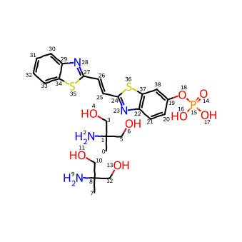 CC(N)(CO)CO.CC(N)(CO)CO.O=P(O)(O)Oc1ccc2nc(C=Cc3nc4ccccc4s3)sc2c1